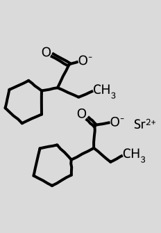 CCC(C(=O)[O-])C1CCCCC1.CCC(C(=O)[O-])C1CCCCC1.[Sr+2]